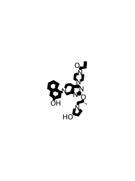 C=CC(=O)N1CCN(c2nc(O[C@H](C)CN3CCC(O)C3)nc3c2CCN(c2cc(O)cc4ccccc24)C3)CC1